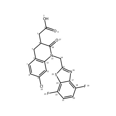 O=C(O)CC1Cc2ccc(Cl)cc2N(Cc2nc3c(F)ccc(F)c3s2)C1=O